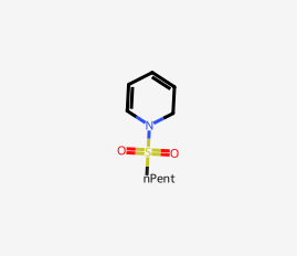 CCCCCS(=O)(=O)N1C=CC=CC1